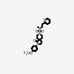 CN(CCc1ccccn1)S(=O)(=O)N1CCC2(CCN(c3ccc(OC(F)(F)F)cc3)C2=O)CC1